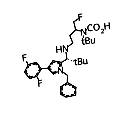 CC(C)(C)[C@@H](NCCC(CF)N(C(=O)O)C(C)(C)C)c1cc(-c2cc(F)ccc2F)cn1Cc1ccccc1